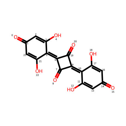 O=C1C=C(O)C(=c2c(=O)c(=C3C(O)=CC(=O)C=C3O)c2=O)C(O)=C1